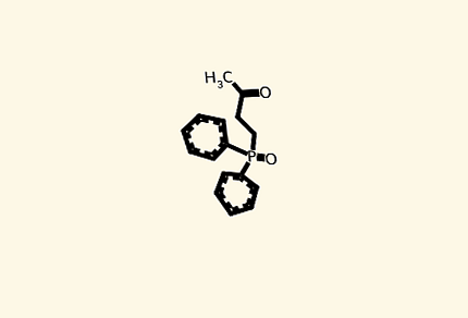 CC(=O)CCP(=O)(c1ccccc1)c1ccccc1